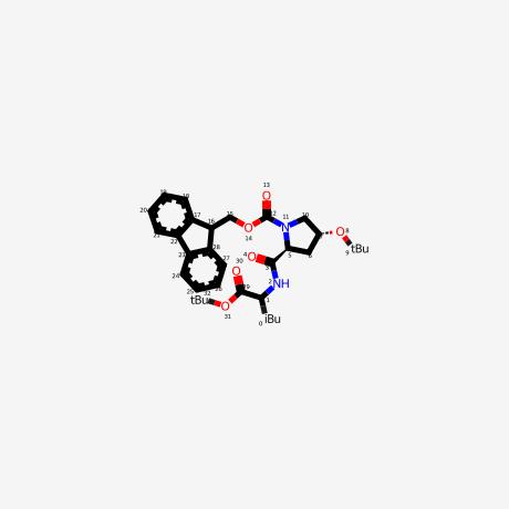 CCC(C)C(NC(=O)[C@@H]1C[C@@H](OC(C)(C)C)CN1C(=O)OCC1c2ccccc2-c2ccccc21)C(=O)OC(C)(C)C